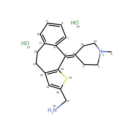 CN1CCC(=C2c3ccccc3CCc3cc(CN)sc32)CC1.Cl.Cl